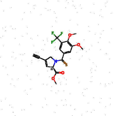 C#CC1=C[C@H](C(=O)OC)N(C(=S)c2cc(OC)c(OC)c(C(F)(F)F)c2)C1